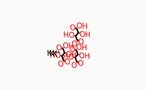 O=C([O-])C(O)C(O)C(=O)O.O=C([O-])C(O)C(O)C(=O)O.O=C([O-])C(O)C(O)C(=O)O.[K+].[K+].[K+]